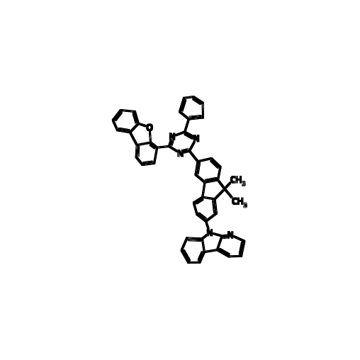 CC1(C)c2ccc(-c3nc(-c4ccccc4)nc(-c4cccc5c4oc4ccccc45)n3)cc2-c2ccc(-n3c4ccccc4c4cccnc43)cc21